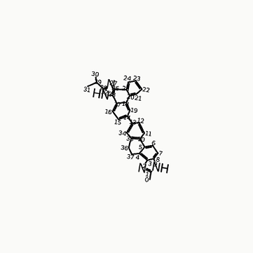 Cc1nc2c3c(ccc2[nH]1)-c1ccc(-c2ccc4c(c2)c2ccccc2c2nc(C(C)C)[nH]c42)cc1CC3